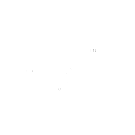 COc1cc(C(C)(C)C)ccc1C(=O)Nc1cccc(C2CCCCN2)c1